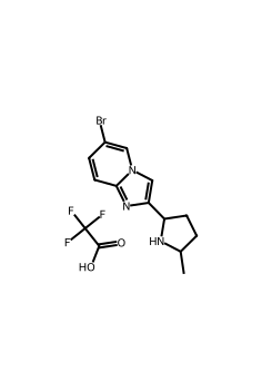 CC1CCC(c2cn3cc(Br)ccc3n2)N1.O=C(O)C(F)(F)F